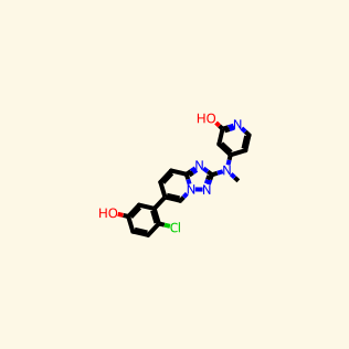 CN(c1ccnc(O)c1)c1nc2ccc(-c3cc(O)ccc3Cl)cn2n1